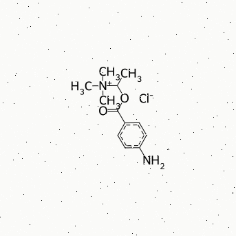 CC(OC(=O)c1ccc(N)cc1)[N+](C)(C)C.[Cl-]